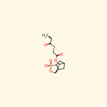 C=CC(=O)SCC(=O)OC1C2CC3C1OS(=O)(=O)C3C2